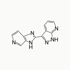 c1cnc2[nH]nc(-c3nc4ccncc4[nH]3)c2c1